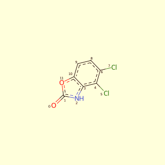 O=c1[nH]c2c(Cl)c(Cl)ccc2o1